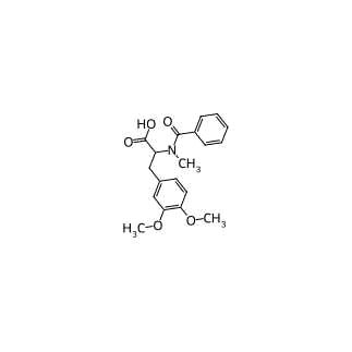 COc1ccc(CC(C(=O)O)N(C)C(=O)c2ccccc2)cc1OC